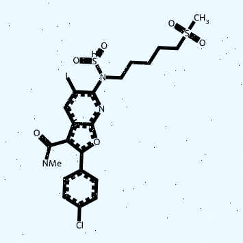 CNC(=O)c1c(-c2ccc(Cl)cc2)oc2nc(N(CCCCCS(C)(=O)=O)[SH](=O)=O)c(I)cc12